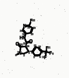 CN1C[C@@H](c2ccc(C(F)(F)F)cc2)[C@H](C(=O)Nc2ccc(F)nc2)C1=O